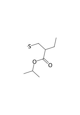 CCC(C[S])C(=O)OC(C)C